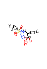 CC(CNS(C)(=O)=O)C(=O)O